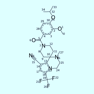 COc1cc(C(=O)N2CCC3(CC2)c2c(C#N)cc(C(F)(F)F)n2CCN3C)ccc1OC(C)C